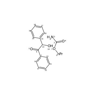 CCCOC(N)=O.O=C(c1ccccc1)C(O)c1ccccc1